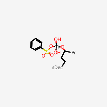 CCCCCCCCCCCCC([O][Ti]([OH])([OH])[O]S(=O)(=O)c1ccccc1)C(C)C